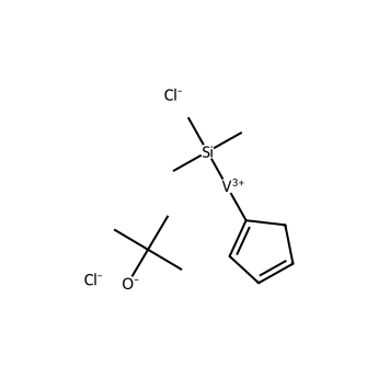 CC(C)(C)[O-].C[Si](C)(C)[V+3][C]1=CC=CC1.[Cl-].[Cl-]